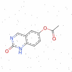 CC(=O)Oc1ccc2[nH]c(=O)ncc2c1